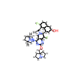 C#Cc1c(F)ccc2cc(O)cc(-c3ncc4c(N5C[C@H]6CC[C@@H](C5)N6)nc(OCC56CCCN5CCC6)nc4c3F)c12